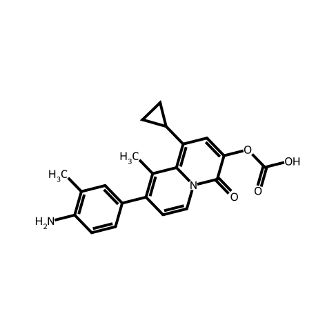 Cc1cc(-c2ccn3c(=O)c(OC(=O)O)cc(C4CC4)c3c2C)ccc1N